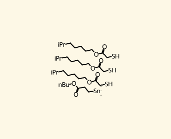 CC(C)CCCCCOC(=O)CS.CC(C)CCCCCOC(=O)CS.CC(C)CCCCCOC(=O)CS.CCCCOC(=O)C[CH2][Sn]